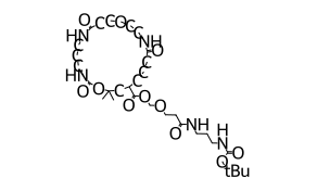 CC(C)(C)OC(=O)NCCCNC(=O)CCOCOC(=O)C1CCCC(=O)NCCOCCC(=O)NCCCNC(=O)OC(C)(C)C1